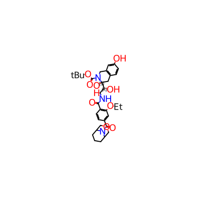 CCOc1cc(C(=O)N2C3CCCC2COC3)ccc1C(=O)NC[C@@H](O)[C@@]1(O)Cc2ccc(O)cc2CN1C(=O)OC(C)(C)C